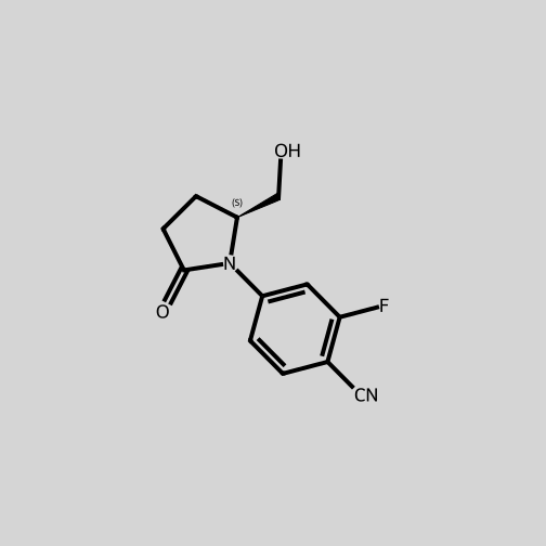 N#Cc1ccc(N2C(=O)CC[C@H]2CO)cc1F